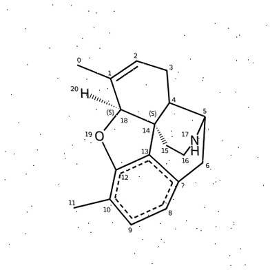 CC1=CCC2C3Cc4ccc(C)c5c4[C@@]2(CCN3)[C@H]1O5